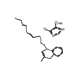 Br.CCCCCCCCCCN1C=C(C)Cc2ccccc21.Clc1nc[nH]c1Cl